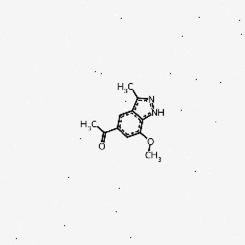 COc1cc(C(C)=O)cc2c(C)n[nH]c12